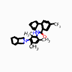 Cc1cc(C)c(N2Cc3ccccc3C2)c(C)c1NC(=O)c1cc(C(F)(F)F)ccc1-c1ccccc1